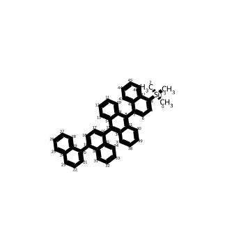 C[Si](C)(C)c1ccc(-c2c3ccccc3c(-c3ccc(-c4cccc5ccccc45)c4ccccc34)c3ccccc23)c2ccccc12